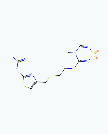 CN1C=NS(=O)(=O)N=C1NCCSCc1csc(NC(=N)N)n1